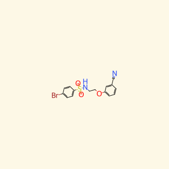 N#Cc1cccc(OCCNS(=O)(=O)c2ccc(Br)cc2)c1